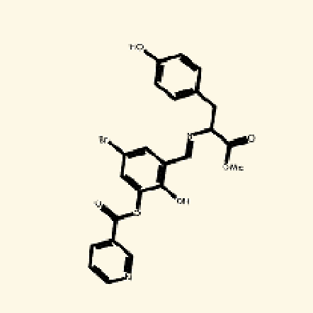 COC(=O)C(Cc1ccc(O)cc1)N=Cc1cc(Br)cc(OC(=O)c2cccnc2)c1O